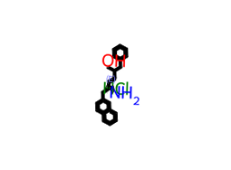 Cl.N[C@@H](/C=C/C(CO)Cc1ccccc1)Cc1ccc2ccccc2c1